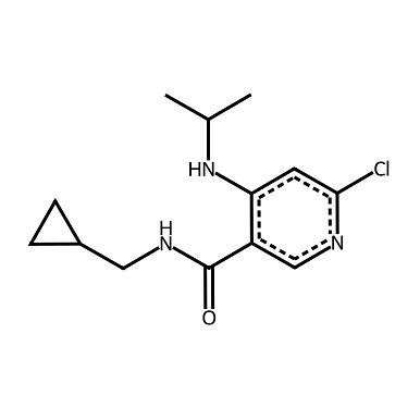 CC(C)Nc1cc(Cl)ncc1C(=O)NCC1CC1